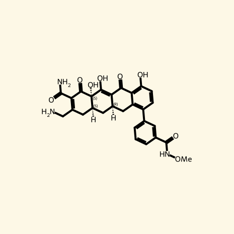 CONC(=O)c1cccc(-c2ccc(O)c3c2C[C@H]2C[C@H]4CC(CN)=C(C(N)=O)C(=O)[C@@]4(O)C(O)=C2C3=O)c1